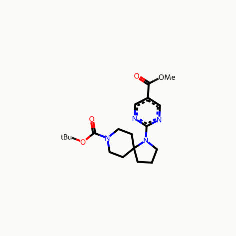 COC(=O)c1cnc(N2CCCC23CCN(C(=O)OC(C)(C)C)CC3)nc1